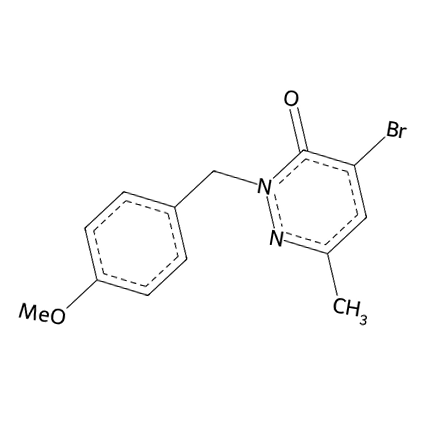 COc1ccc(Cn2nc(C)cc(Br)c2=O)cc1